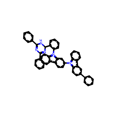 c1ccc(C2=NC(c3ccccc3-n3c4ccccc4c4ccc(-n5c6ccccc6c6cc(-c7ccccc7)ccc65)cc43)NC(c3ccccc3)=N2)cc1